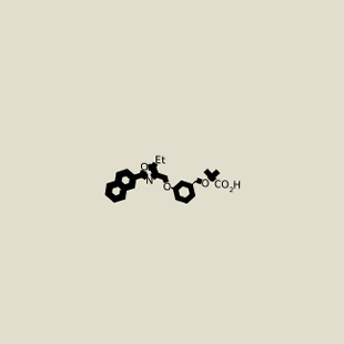 CCc1oc(-c2ccc3ccccc3c2)nc1CO[C@H]1CCC[C@@H](COC(C)(C)C(=O)O)C1